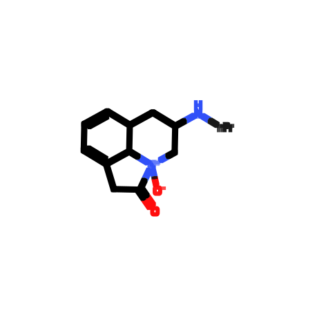 CCCNC1CC2C=CC=C3CC(=O)[N+]([O-])(C1)C32